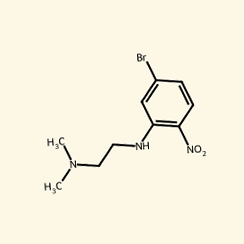 CN(C)CCNc1cc(Br)ccc1[N+](=O)[O-]